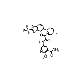 COc1ncc(NC(=O)C(=O)N2C[C@@H](C)CC[C@@H]2c2ccc3sc(C(F)(F)F)nc3c2)cc1C(N)=O